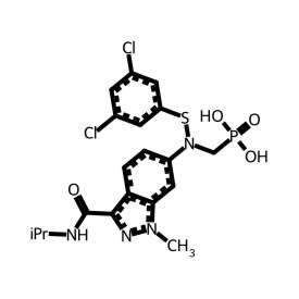 CC(C)NC(=O)c1nn(C)c2cc(N(CP(=O)(O)O)Sc3cc(Cl)cc(Cl)c3)ccc12